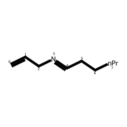 C=CCN=CCCCCC